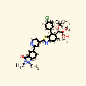 Cc1cc2nc(-c3ccnc(-c4ccc5c(c4)c(=O)n(C)n5C)c3)sc2c(-c2ccc(Cl)cc2)c1[C@H](OC(C)(C)C)C(=O)O